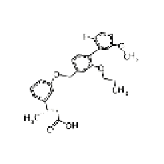 CCCOc1cc(COc2cccc([C@@H](C)CC(=O)O)c2)ccc1-c1cc(OC)ccc1F